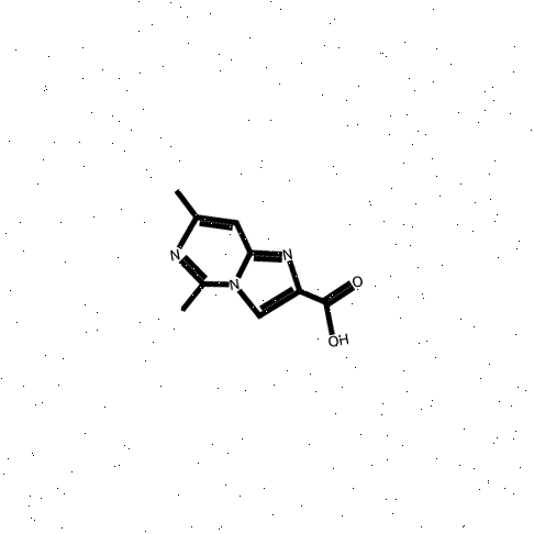 Cc1cc2nc(C(=O)O)cn2c(C)n1